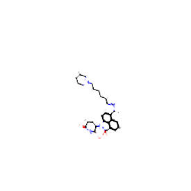 CN(CCCCCCN1CCCCC1)Cc1ccc2c3c(cccc13)C(=O)N2C1CCC(=O)NC1=O